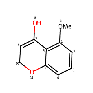 COc1cccc2c1C(O)=CCO2